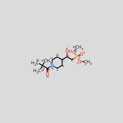 COP(=O)(CC(O)C1CCN(C(=O)C(C)(C)C)CC1)OC